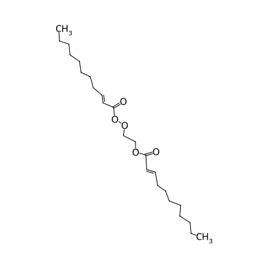 CCCCCCCCC=CC(=O)OCCOOC(=O)C=CCCCCCCCC